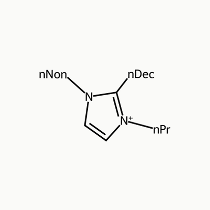 CCCCCCCCCCc1n(CCCCCCCCC)cc[n+]1CCC